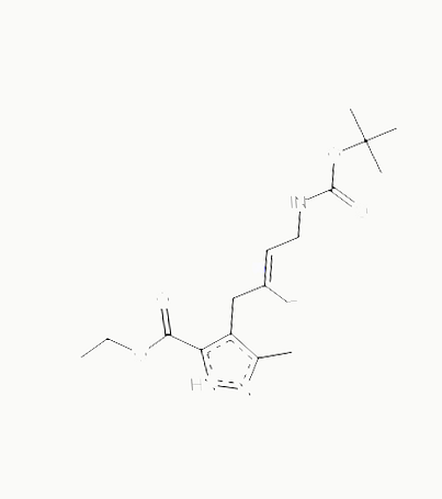 CCOC(=O)c1[nH]nc(C)c1C/C(F)=C/CNC(=O)OC(C)(C)C